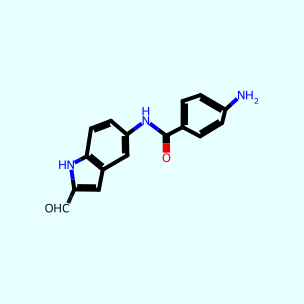 Nc1ccc(C(=O)Nc2ccc3[nH]c(C=O)cc3c2)cc1